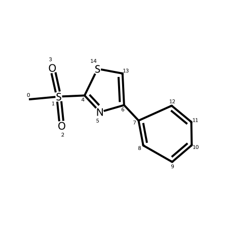 CS(=O)(=O)c1nc(-c2ccccc2)cs1